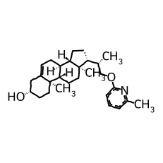 Cc1cccc(OC[C@@H](C)[C@H]2CC[C@H]3[C@@H]4CC=C5C[C@@H](O)CC[C@]5(C)[C@H]4CC[C@]23C)n1